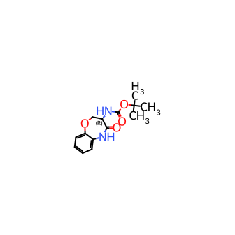 CC(C)(C)OC(=O)N[C@@H]1COc2ccccc2NC1=O